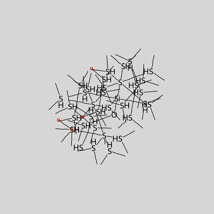 C[SH](C)C([SH](C)C)([SH](C)C)[Si](OC([SH](C)C)(S(C)([SH](C)C)([SH](C)C)([SH](C)C)C(S)([SH](C)C)[SH](C)C)S([SH](C)C)([SH](C)C)([SH](C)C)(C([SH](C)C)([SH](C)C)[SH](C)C)C([SH](C)C)([SH](C)C)[SH](C)C)(C([SH](C)C)([SH](C)C)[SH](C)C)S([SH](C)C)([SH](C)C)([SH](C)C)(C([SH](C)C)([SH](C)C)[SH](C)C)C([SH](C)C)([SH](C)C)[SH](C)C